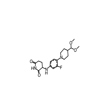 COC(OC)C1CCN(c2ccc(NC3CCC(=O)NC3=O)cc2F)CC1